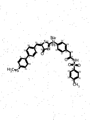 CSc1ccc(-c2ccc(C=C3SC(Nc4ccc(CC(=O)NS(=O)(=O)c5ccc(C)cc5)cc4)=NC3=O)cc2)cc1.[Na]